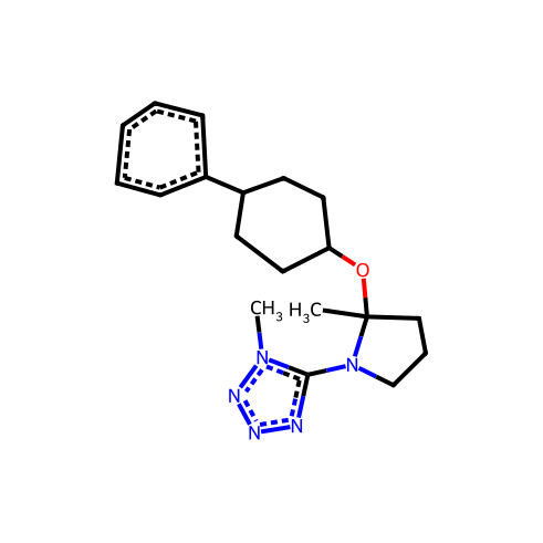 Cn1nnnc1N1CCCC1(C)OC1CCC(c2ccccc2)CC1